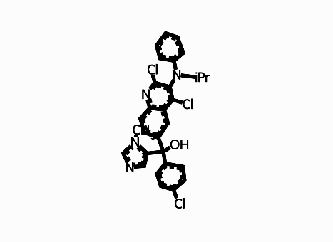 CC(C)N(c1ccccc1)c1c(Cl)nc2ccc(C(O)(c3ccc(Cl)cc3)c3cncn3C)cc2c1Cl